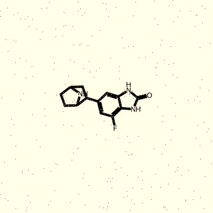 O=c1[nH]c2cc(C3CC4CCC3N4)cc(F)c2[nH]1